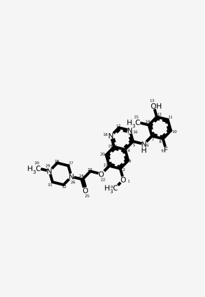 COc1cc2c(Nc3c(F)ccc(O)c3C)ncnc2cc1OCC(=O)N1CCN(C)CC1